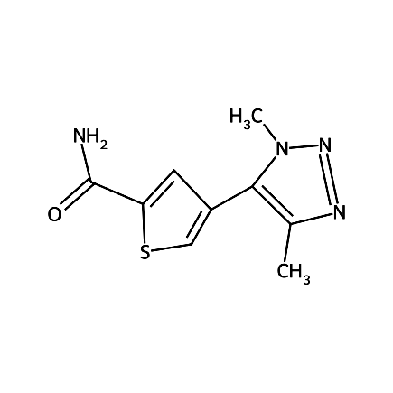 Cc1nnn(C)c1-c1csc(C(N)=O)c1